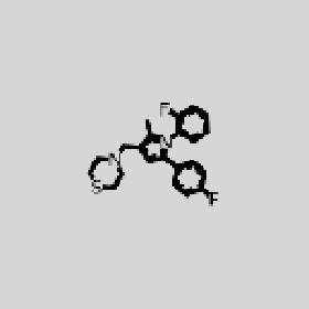 Cc1c(CN2CCSCC2)cc(-c2ccc(F)cc2)n1-c1ccccc1F